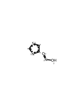 O=NO.c1cscn1